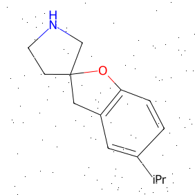 CC(C)c1ccc2c(c1)CC1(CCNC1)O2